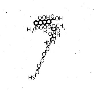 COc1cccc2c1C(=O)c1c(O)c3c(c(O)c1C2=O)CC(C(=O)CO)C[C@@H]3O[C@H]1CC(NC(=O)CCC(=O)NCCOCCOCCOCCOCCOCCS)C(O)C(C)O1